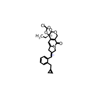 CC[C@@]1(OC(=O)Cl)C(=O)OCc2c1cc1n(c2=O)C/C(=C/c2ccccc2CC2=CC2)C1